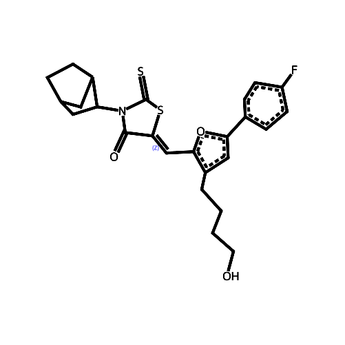 O=C1/C(=C/c2oc(-c3ccc(F)cc3)cc2CCCCO)SC(=S)N1C1CC2CCC1C2